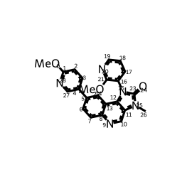 COc1ccc(-c2ccc3ncc4c(c3c2)n(-c2cccnc2OC)c(=O)n4C)cn1